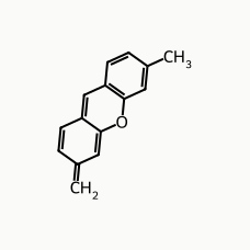 C=c1ccc2c(c1)Oc1cc(C)ccc1C=2